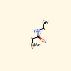 CCCCNC(=O)CNC